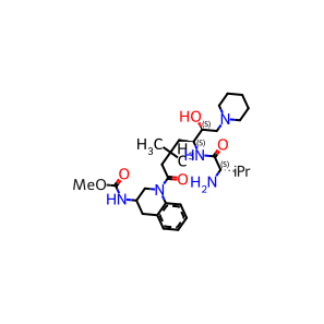 COC(=O)NC1Cc2ccccc2N(C(=O)CC(C)(C)C[C@H](NC(=O)[C@@H](N)C(C)C)[C@@H](O)CN2CCCCC2)C1